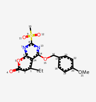 CCc1cc(=O)oc2nc(S(C)(=O)=O)nc(OCc3ccc(OC)cc3)c12